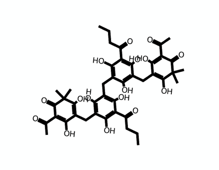 CCCC(=O)c1c(O)c(CC2=C(O)C(C)(C)C(=O)C(C(C)=O)=C2O)c(O)c(Cc2c(O)c(CC3=C(O)C(C)(C)C(=O)C(C(C)=O)=C3O)c(O)c(C(=O)CCC)c2O)c1O